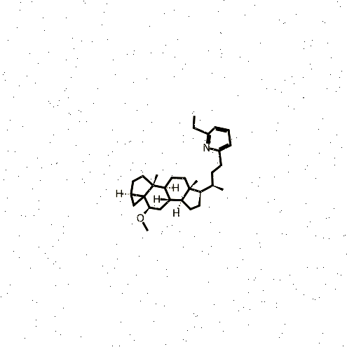 CCc1cccc(CC[C@@H](C)[C@H]2CC[C@H]3[C@@H]4C[C@@H](OC)C56C[C@H]5CC[C@]6(C)[C@H]4CC[C@]23C)n1